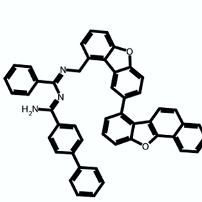 N/C(=N\C(=N/Cc1cccc2oc3ccc(-c4cccc5oc6c7ccccc7ccc6c45)cc3c12)c1ccccc1)c1ccc(-c2ccccc2)cc1